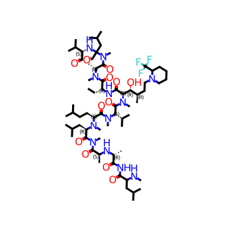 CC[C@@H](NC(=O)[C@@H]([C@H](O)[C@H](C)CCN1CCCCC1C(F)(F)F)N(C)C(=O)[C@H](C(C)C)N(C)C(=O)[C@H](CCC(C)C)N(C)[C@H](CC(C)C)C(=O)N(C)C(=O)[C@H](C)N[C@H](C)C(=O)NC(=O)C(CC(C)C)NC)C(=O)N(C)[C@H](C)C(=O)N(C)C(C=O)(CC(C)C)N[C@H](C=O)C(C)C